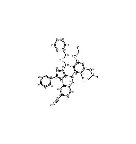 CCOc1cc(OC(C)C)c(F)c(C(Nc2ccc(C#N)cc2)c2nc(-c3ccccc3)nn2COCc2ccccc2)c1